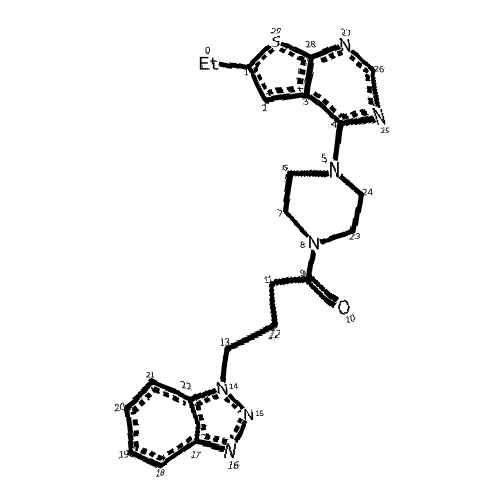 CCc1cc2c(N3CCN(C(=O)CCCn4nnc5ccccc54)CC3)ncnc2s1